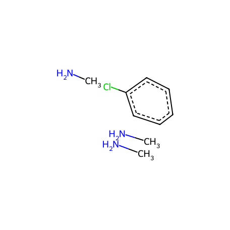 CN.CN.CN.Clc1ccccc1